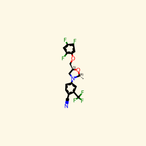 C[C@H]1O[C@H](COc2cc(F)c(F)cc2F)CN1c1ccc(C#N)c(C(F)(F)F)c1